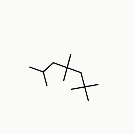 C[C](C)CC(C)(C)CC(C)(C)C